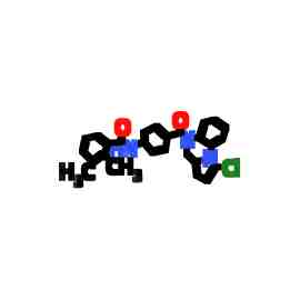 Cc1cccc(C(=O)Nc2ccc(C(=O)N3Cc4ccc(Cl)n4-c4ccccc43)cc2)c1C